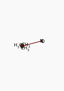 CCO[Si](CCCCCCCCCCCCCCCCCCCCCCCCCCCCCCCN=C=O)(OCC)OCC